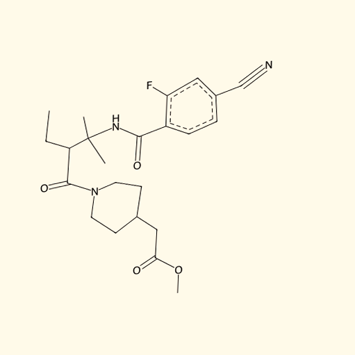 CCC(C(=O)N1CCC(CC(=O)OC)CC1)C(C)(C)NC(=O)c1ccc(C#N)cc1F